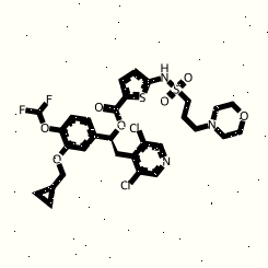 O=C(O[C@@H](Cc1c(Cl)cncc1Cl)c1ccc(OC(F)F)c(OCC2CC2)c1)c1ccc(NS(=O)(=O)CCCN2CCOCC2)s1